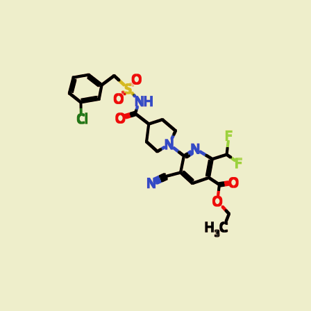 CCOC(=O)c1cc(C#N)c(N2CCC(C(=O)NS(=O)(=O)Cc3cccc(Cl)c3)CC2)nc1C(F)F